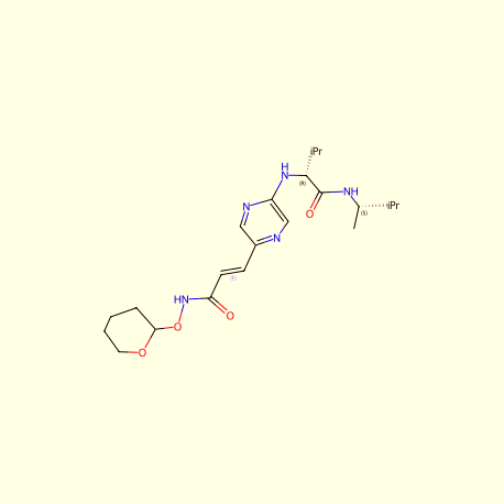 CC(C)[C@H](C)NC(=O)[C@H](Nc1cnc(/C=C/C(=O)NOC2CCCCO2)cn1)C(C)C